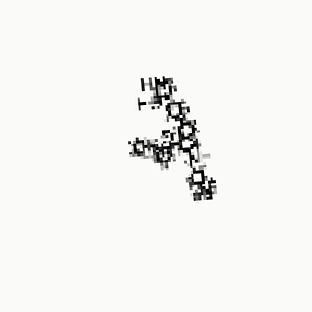 O=C(c1cc(NCc2ccc(C(F)(F)F)cc2)nc2ccc(-c3ccc(C4CCNC[C@H]4O)cc3)cc12)N1CCC[C@H]1CN1CCCC1